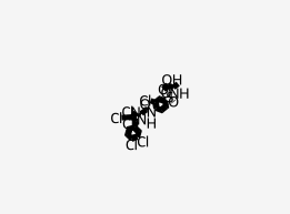 CC(NS(=O)(=O)c1ccc(NC(=O)C2=NC(c3ccc(Cl)c(Cl)c3)C(C(Cl)(Cl)Cl)=N2)c(Cl)c1)C(=O)O